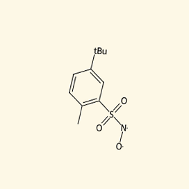 Cc1ccc(C(C)(C)C)cc1S(=O)(=O)[N][O]